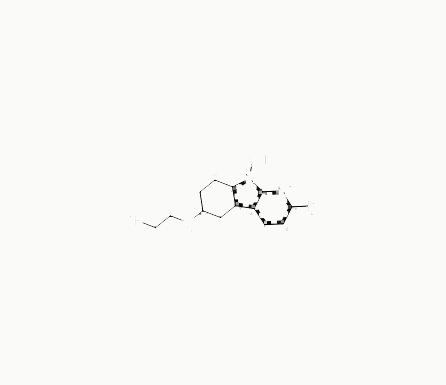 Cn1c2c(c3ccc(Br)nc31)CC(OCCF)CC2